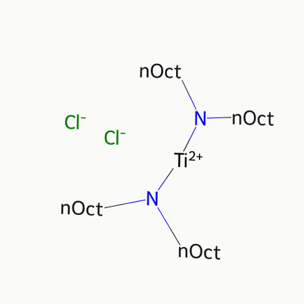 CCCCCCCC[N](CCCCCCCC)[Ti+2][N](CCCCCCCC)CCCCCCCC.[Cl-].[Cl-]